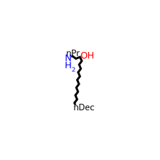 CCCCCCCCCCCCCCCCCCCCCCC(O)(CCC)CCN